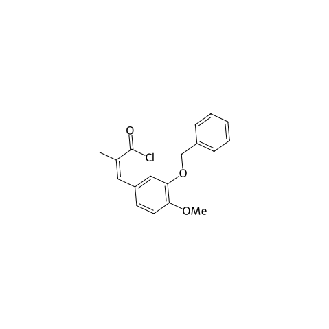 COc1ccc(C=C(C)C(=O)Cl)cc1OCc1ccccc1